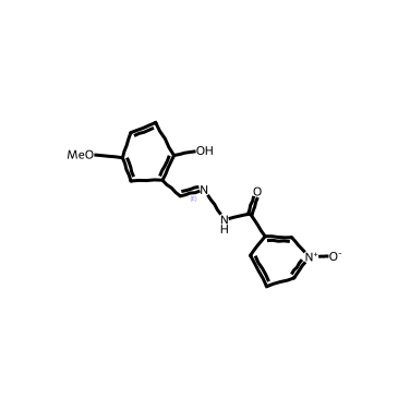 COc1ccc(O)c(/C=N/NC(=O)c2ccc[n+]([O-])c2)c1